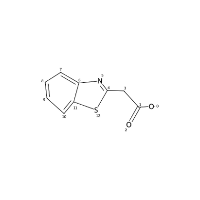 [O]C(=O)Cc1nc2ccccc2s1